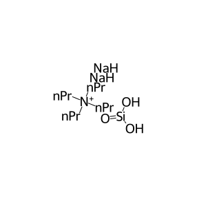 CCC[N+](CCC)(CCC)CCC.O=[Si](O)O.[NaH].[NaH]